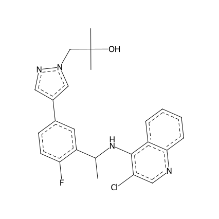 CC(Nc1c(Cl)cnc2ccccc12)c1cc(-c2cnn(CC(C)(C)O)c2)ccc1F